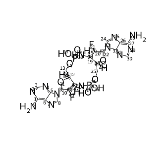 Nc1ncnc2c1ncn2[C@@H]1O[C@@H]2COP(=O)(O)N[C@H]3[C@@H](F)[C@H](n4cnc5c(N)ncnc54)O[C@@H]3COP(=O)(O)N[C@H]2[C@H]1F